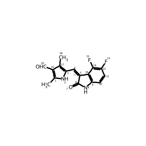 Cc1[nH]c(/C=C2\C(=O)Nc3ccc(F)c(F)c32)c(C)c1C=O